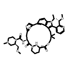 CCn1c(-c2cccnc2[C@H](C)OC)c2c3cc(ccc31)-c1csc(n1)C[C@H](NC(=O)N1CCN(C)C[C@@H]1COC)C(=O)N1CCC[C@H](N1)C(=O)OCC(C)(C)C2